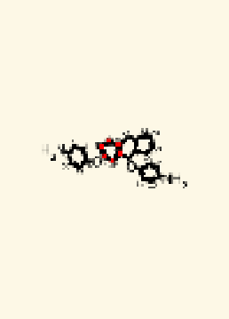 Nc1ccc(Oc2ccc3c(c2)C2(Oc4ccc(N)cc4)c4ccccc4C3c3ccccc32)cc1